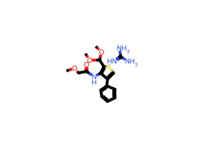 COCC(=O)Nc1c(-c2ccccc2)csc1[C](OC)OC.N=C(N)N